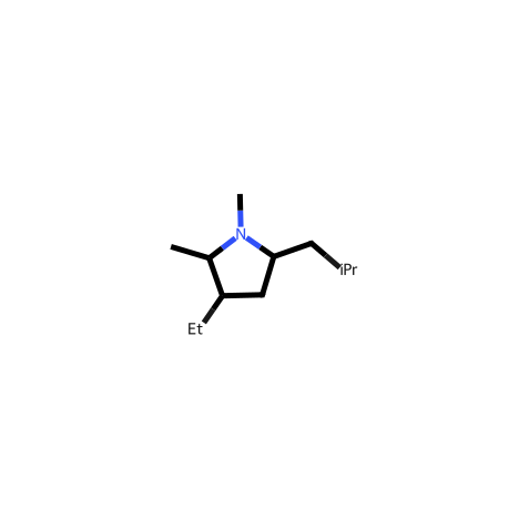 CCC1CC(CC(C)C)N(C)C1C